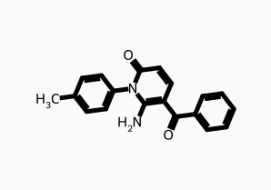 Cc1ccc(-n2c(N)c(C(=O)c3ccccc3)ccc2=O)cc1